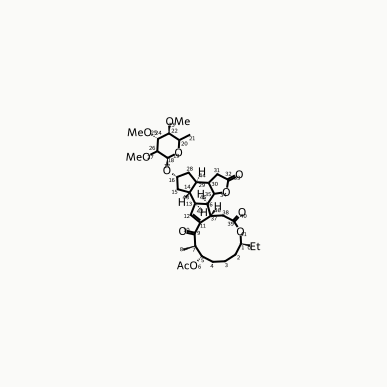 CC[C@H]1CCC[C@H](OC(C)=O)[C@@H](C)C(=O)C2=C[C@H]3[C@@H]4C[C@H](O[C@@H]5OC(C)[C@H](OC)[C@@H](OC)C5OC)C[C@H]4C4CC(=O)OC4[C@H]3[C@@H]2CC(=O)O1